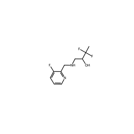 CC(F)(F)C(O)CNCc1ncccc1F